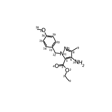 CCOC(=O)c1c(N)c(C)nn1Cc1ccc(OC)cc1